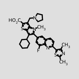 Cc1nc(C)c(-c2ccc3cc(-c4c(C5CCCCC5)c5sc(C(=O)O)c(CN6CCCC6)c5n4C)cc(F)c3n2)s1